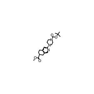 COC(=O)C1CCc2cc(N3CCN(C(=O)OC(C)(C)C)CC3)ncc2C1